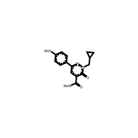 CNC(=O)c1cc(-c2ccc(SC)cc2)nn(CC2CC2)c1=O